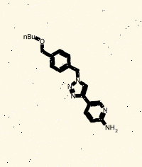 CCCCOCc1ccc(Cn2cc(-c3ccc(N)nc3)nn2)cc1